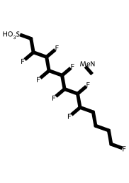 CNC.O=S(=O)(O)CC(F)C(F)C(F)C(F)C(F)C(F)C(F)CCCCF